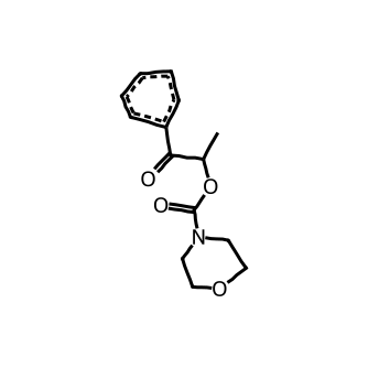 CC(OC(=O)N1CCOCC1)C(=O)c1ccccc1